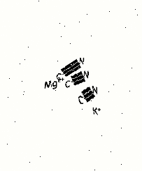 [C-]#N.[C-]#N.[C-]#N.[K+].[Mg+2]